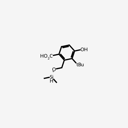 C[SiH](C)OCc1c(C(=O)O)ccc(O)c1C(C)(C)C